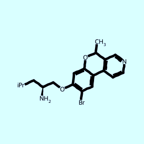 CC(C)C[C@H](N)COc1cc2c(cc1Br)-c1ccncc1C(C)O2